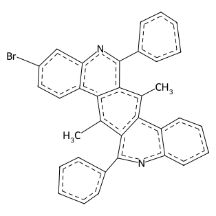 Cc1c2c(-c3ccccc3)nc3cc(Br)ccc3c2c(C)c2c(-c3ccccc3)nc3ccccc3c12